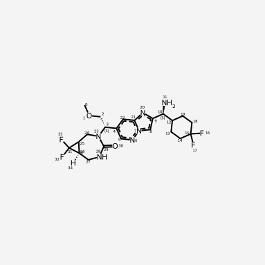 COC[C@H](c1cnn2cc([C@@H](N)C3CCC(F)(F)CC3)nc2c1)N1CC2[C@@H](CNC1=O)C2(F)F